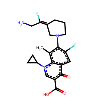 Cc1c(N2CCC/C(=C(\F)CN)C2)c(F)cc2c(=O)c(C(=O)O)cn(C3CC3)c12